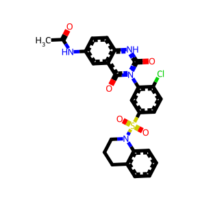 CC(=O)Nc1ccc2[nH]c(=O)n(-c3cc(S(=O)(=O)N4CCCc5ccccc54)ccc3Cl)c(=O)c2c1